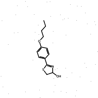 CCCCOc1ccc(C2=NC(O)CS2)cc1